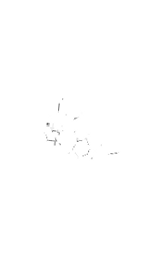 C=CCc1ccc(C[n+]2ccn(CC=C)c2CC=C)cc1